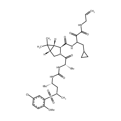 C=CCNC(=O)C(=O)C(CC1CC1)NC(=O)[C@@H]1[C@@H]2[C@H](CN1C(=O)[C@@H](NC(=O)N[C@H](CN(C)S(=O)(=O)c1cc(Cl)ccc1OC)C(C)(C)C)C(C)(C)C)C2(C)C